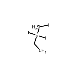 CC[Si](I)(I)[SiH2]I